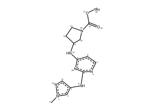 Cn1cc(Nc2nccc(NC3CCN(C(=O)OC(C)(C)C)C3)n2)cn1